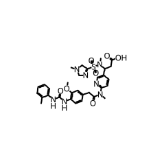 COc1cc(CC(=O)N(C)c2ccc(C(CC(=O)O)N(C)S(=O)(=O)C3=NCN(C)C3)cn2)ccc1NC(=O)Nc1ccccc1C